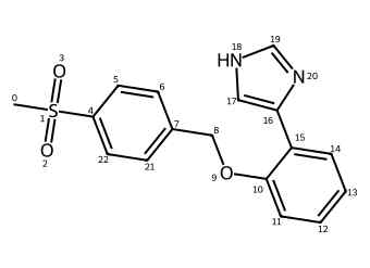 CS(=O)(=O)c1ccc(COc2ccccc2-c2c[nH]cn2)cc1